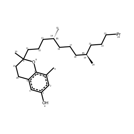 Cc1cc(O)cc2c1OC(C)(CCC[C@H](C)CCC[C@H](C)CCCC(C)C)CC2